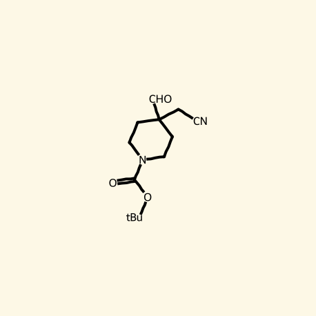 CC(C)(C)OC(=O)N1CCC(C=O)(CC#N)CC1